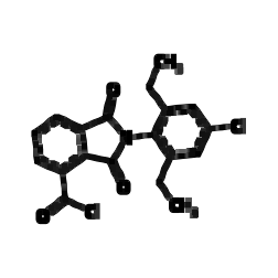 CCc1cc(Cl)cc(CC)c1N1C(=O)c2cccc(C(=O)Cl)c2C1=O